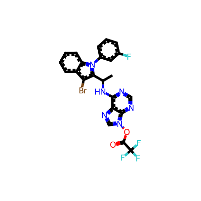 CC(Nc1ncnc2c1ncn2OC(=O)C(F)(F)F)c1c(Br)c2ccccc2n1-c1cccc(F)c1